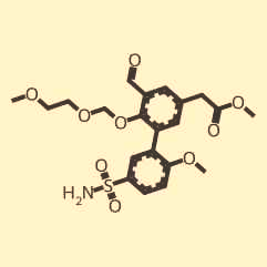 COCCOCOc1c(C=O)cc(CC(=O)OC)cc1-c1cc(S(N)(=O)=O)ccc1OC